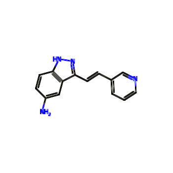 Nc1ccc2[nH]nc(C=Cc3cccnc3)c2c1